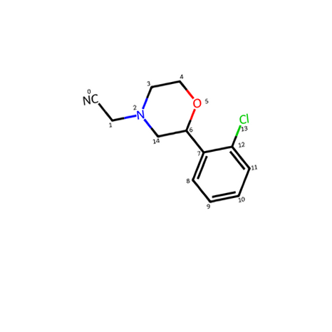 N#CCN1CCOC(c2ccccc2Cl)C1